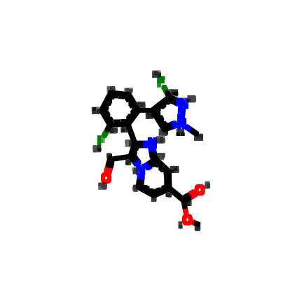 COC(=O)c1ccn2c(C=O)c(-c3c(F)cccc3-c3cn(C)nc3F)nc2c1